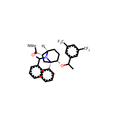 CNC(=O)[C@H]1C[C@]2(c3ccccc3)[C@@H](OC(C)c3cc(C(F)(F)F)cc(C(F)(F)F)c3)CC[C@H]1N2C(C)c1ccccc1